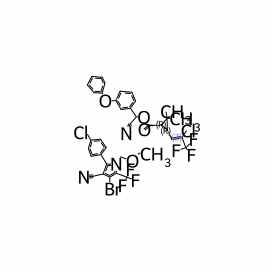 CC1(C)[C@H](C(=O)OC(C#N)c2cccc(Oc3ccccc3)c2)[C@@H]1/C=C(\Cl)C(F)(F)F.CCOCn1c(-c2ccc(Cl)cc2)c(C#N)c(Br)c1C(F)(F)F